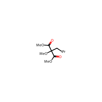 COC(=O)C(CC(C)C)(OC)C(=O)OC